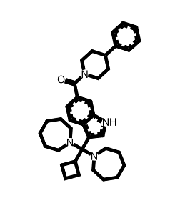 O=C(c1ccc2c(C(C3CCC3)(N3CCCCCC3)N3CCCCCC3)c[nH]c2c1)N1CCC(c2ccccc2)CC1